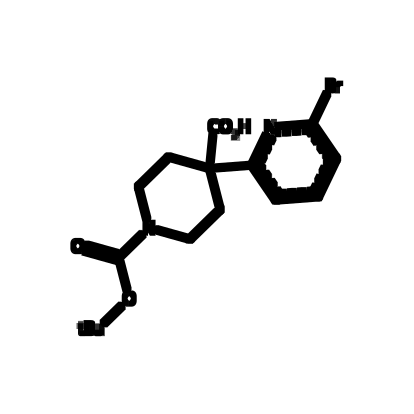 CC(C)(C)OC(=O)N1CCC(C(=O)O)(c2cccc(Br)n2)CC1